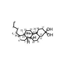 CCC[C@@H](C)[C@H]1CC[C@H]2[C@@H]3CCC4CC(O)(O)CC[C@]4(C)[C@H]3CC[C@]12C